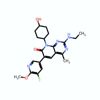 CCNc1nc(C)c2cc(-c3cnc(OC)c(F)c3)c(=O)n(C3CCC(O)CC3)c2n1